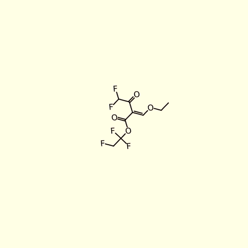 CCO/C=C(/C(=O)OC(F)(F)CF)C(=O)C(F)F